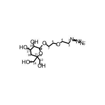 [N-]=[N+]=NCCOCCO[C@H]1OC(CO)(CO)CC(O)C1O